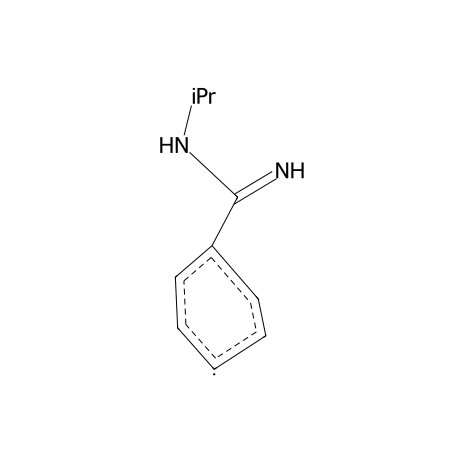 CC(C)NC(=N)c1cc[c]cc1